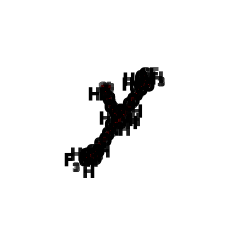 O=C(CCC(O)C(NC(=O)COCCOCCOCCNc1ccccc1)C(O)CCC(=O)NCCOCCOCCOCCOC[C@@]12CO[C@@H](O1)[C@H](NC(=O)C(F)(F)F)[C@@H](O)[C@H]2O)NCCOCCOCCOCCOC[C@@]12CO[C@@H](O1)[C@H](NC(=O)C(F)(F)F)[C@@H](O)[C@H]2O